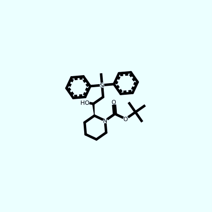 CC(C)(C)OC(=O)N1CCCC[C@H]1C(O)C[Si](C)(c1ccccc1)c1ccccc1